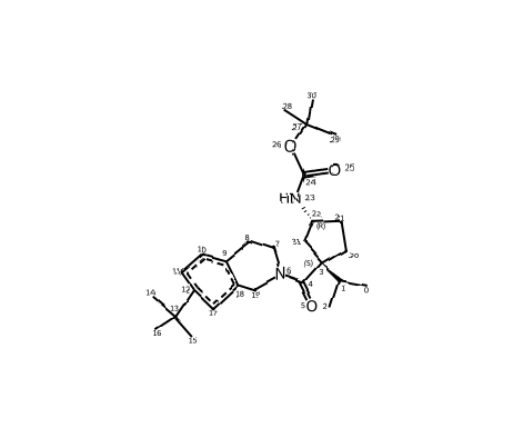 CC(C)[C@]1(C(=O)N2CCc3ccc(C(C)(C)C)cc3C2)CC[C@@H](NC(=O)OC(C)(C)C)C1